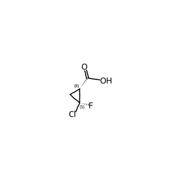 O=C(O)[C@H]1C[C@]1(F)Cl